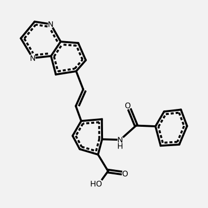 O=C(Nc1cc(C=Cc2ccc3nccnc3c2)ccc1C(=O)O)c1ccccc1